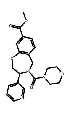 COC(=O)c1ccc2c(c1)OC[C@H](c1cccnc1)N(C(=O)N1CCOCC1)C2